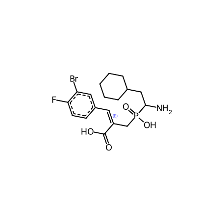 NC(CC1CCCCC1)P(=O)(O)C/C(=C/c1ccc(F)c(Br)c1)C(=O)O